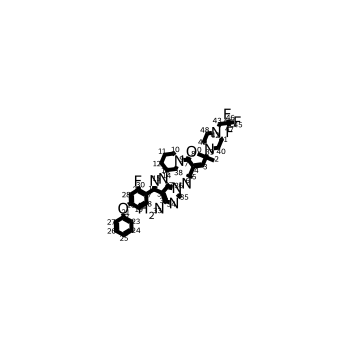 CC(C)(/C=C(/C#N)C(=O)N1CCC[C@@H](n2nc(-c3ccc(Oc4ccccc4)cc3F)c3c(N)ncnc32)C1)N1CCN(CC(F)(F)F)CC1